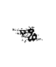 COc1cc(C[C@@H](C)[C@@H](C)Cc2ccc(O)c(O[C@@H]3O[C@H](C(=O)O)[C@@H](O)[C@H](O)[C@H]3O)c2)ccc1O